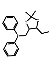 CCC1OC(C)(C)OC1CP(c1ccccc1)c1ccccc1